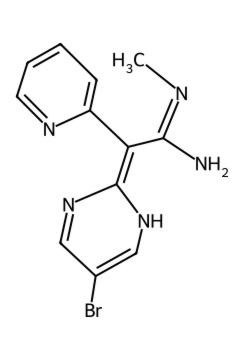 C/N=C(N)\C(=C1\N=CC(Br)=CN1)c1ccccn1